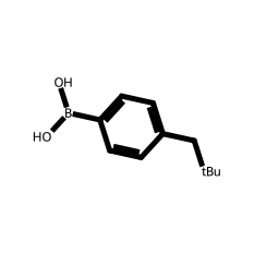 CC(C)(C)Cc1ccc(B(O)O)cc1